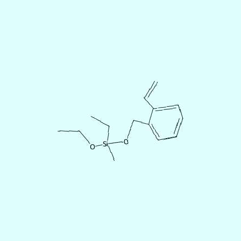 C=Cc1ccccc1CO[Si](C)(CC)OCC